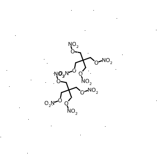 O=[N+]([O-])OCC(CO[N+](=O)[O-])(CO[N+](=O)[O-])CO[N+](=O)[O-].O=[N+]([O-])OCC(CO[N+](=O)[O-])(CO[N+](=O)[O-])CO[N+](=O)[O-]